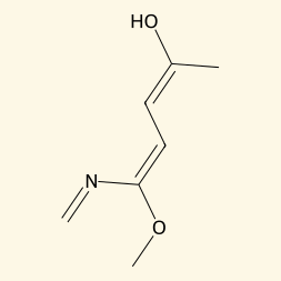 C=N/C(=C\C=C(/C)O)OC